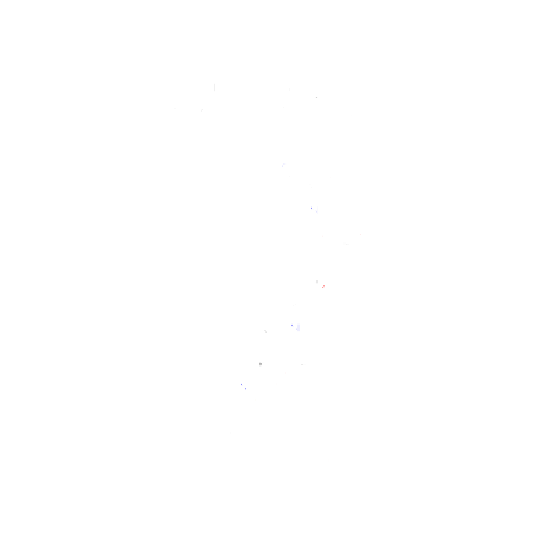 COc1ccc(S(=O)(=O)N(CC(C)C)C[C@@H](OC(C)=O)[C@H](Cc2ccccc2)NC(=O)O[C@H]2CO[C@@]3(CNC(=O)/C=C/c4sc5c(c4C(=O)OC(C)(C)C)CC(C)(C)CC5)OCC[C@@H]23)cc1